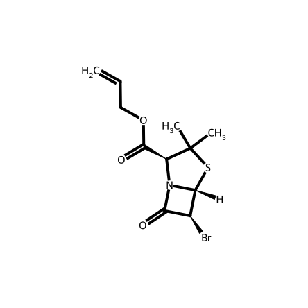 C=CCOC(=O)[C@@H]1N2C(=O)[C@H](Br)[C@H]2SC1(C)C